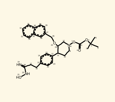 CC(C)(C)OC(=O)ON1CCC(c2ccc(CCC(=N)NO)cc2)C(OCc2ccc3ccccc3c2)C1